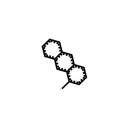 [CH]c1cccc2cc3ccccc3cc12